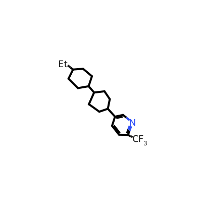 CCC1CCC(C2CCC(c3ccc(C(F)(F)F)nc3)CC2)CC1